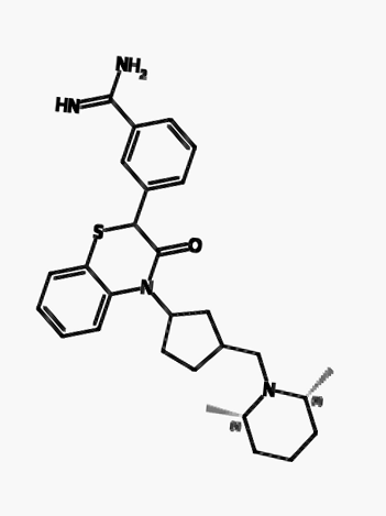 C[C@@H]1CCC[C@H](C)N1CC1CCC(N2C(=O)C(c3cccc(C(=N)N)c3)Sc3ccccc32)C1